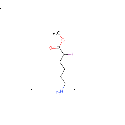 COC(=O)C(I)CCCCN